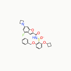 O=C(N[S+]([O-])c1c(OCc2ccccc2)cccc1OC1CCC1)c1cc2c(F)cc(N3CCC3)cc2o1